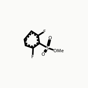 COS(=O)(=O)c1c(F)cccc1F